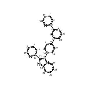 c1ccc(-c2cc(-c3ccc(-c4c(-c5ccccn5)nc5ccccn45)cc3)ccn2)nc1